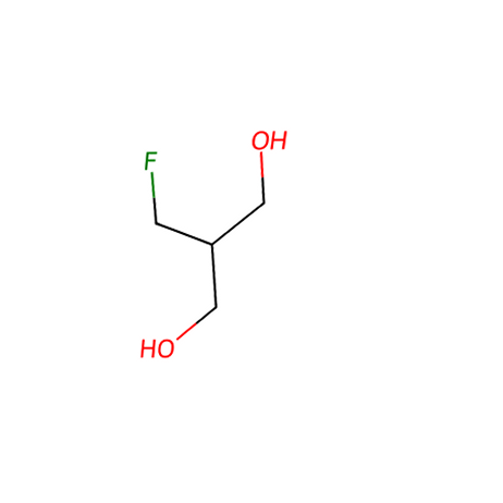 OCC(CO)CF